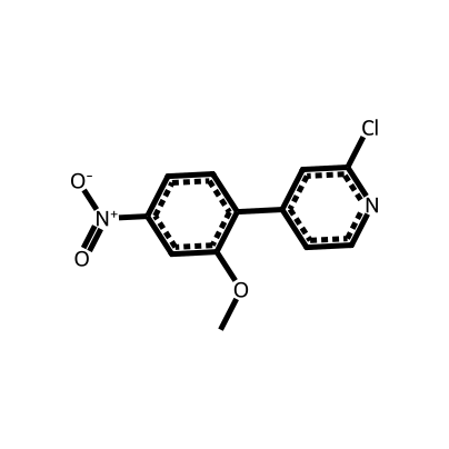 COc1cc([N+](=O)[O-])ccc1-c1ccnc(Cl)c1